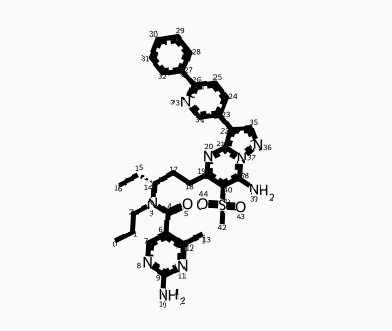 CCCN(C(=O)c1cnc(N)nc1C)[C@H](CC)CCc1nc2c(-c3ccc(-c4ccccc4)nc3)cnn2c(N)c1S(C)(=O)=O